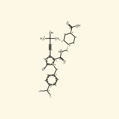 CC(C)(O)C#Cc1nc(Cl)n(Cc2ccc(C(F)F)cc2)c1C(=O)NC[C@H]1CC[C@H](C(=O)O)CC1